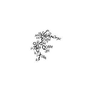 CO[C@@H](C[C@@H]1CC[C@@H](C)[C@](O)(C(=O)C(=O)N2CCCC[C@H]2C(=O)O[C@H](CC[C@@H]2CC[C@@H](O)[C@H](OC)C2)C[C@@H](O)[C@H](C)/C=C(\C)[C@@H](O)[C@@H](OC)/C(=N/OCC(=O)NCCOCCC(C)=O)[C@H](C)CC(C)C)O1)/C(C)=C/C=C/C(C)C